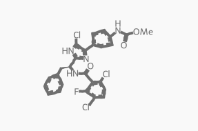 COC(=O)Nc1ccc(-c2nc([C@H](Cc3ccccc3)NC(=O)c3c(Cl)ccc(Cl)c3F)[nH]c2Cl)cc1